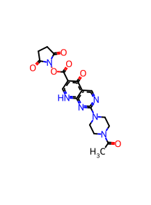 CC(=O)N1CCN(c2ncc3c(=O)c(C(=O)ON4C(=O)CCC4=O)c[nH]c3n2)CC1